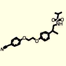 CC(CNS(=O)(=O)C(C)C)c1ccc(OCCOc2ccc(C#N)cc2)cc1